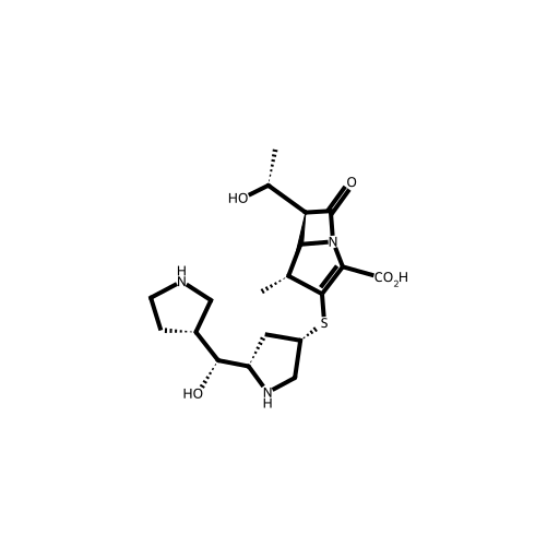 C[C@H]1C(S[C@@H]2CN[C@H]([C@H](O)[C@@H]3CCNC3)C2)=C(C(=O)O)N2C(=O)[C@H]([C@@H](C)O)C12